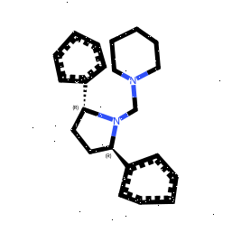 c1ccc([C@H]2CC[C@H](c3ccccc3)N2CN2CCCCC2)cc1